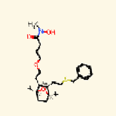 CN(O)C(=O)CCCOCC[C@H]1[C@@H](CCSCc2ccccc2)[C@H]2CC[C@@H]1O2